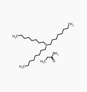 CCC(N)=O.CCCCCCCCP(CCCCCCCC)CCCCCCCC